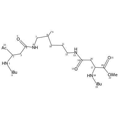 CCC(C)NC(CC(=O)NCC(C)CCCNC(=O)CC(NC(C)CC)C(=O)OC)C(C)=O